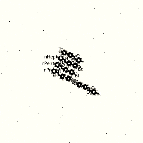 CCCC1CCC(C(=O)Cc2ccc(-c3ccc(OCC)cc3)cc2)C(=O)C1.CCCCCC1CCC(C(=O)Cc2ccc(-c3ccc(OCC)cc3)cc2)C(=O)C1.CCCCCCCC1CCC(C(=O)Cc2ccc(-c3ccc(OCC)cc3)cc2)C(=O)C1.CCOc1ccc(-c2ccc(CC(=O)C3CCC(C)CC3=O)cc2)cc1.CCOc1ccc(-c2ccc(CC(=O)C3CCC(CC)CC3=O)cc2)cc1